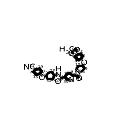 CS(=O)(=O)c1ccc(OC2CCN(C(=O)c3ccc(C(=O)NC4CCC(Oc5ccc(C#N)cc5)CC4)cn3)CC2)cc1